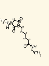 CCNC(=O)CCCCCN1C(=O)CC(NC)C1=O